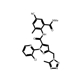 CNC(=O)c1cc(C#N)cc(C)c1NC(=O)c1cc(Cn2nnnc2C)nn1-c1ncccc1Cl